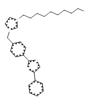 CCCCCCCCCC[n+]1ccn(Cc2ccc(-c3ncc(-c4ccccc4)o3)cc2)c1